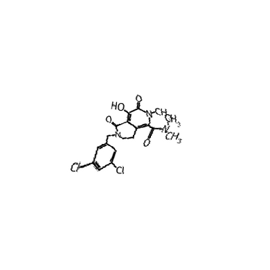 CN(C)C(=O)c1c2c(c(O)c(=O)n1C)C(=O)N(Cc1cc(Cl)cc(Cl)c1)CC2